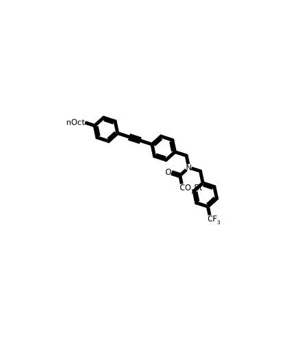 CCCCCCCCc1ccc(C#Cc2ccc(CN(Cc3ccc(C(F)(F)F)cc3)C(=O)C(=O)OCC)cc2)cc1